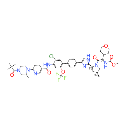 COC(=O)N[C@H](C(=O)N1C[C@@H](C)C[C@H]1c1nc(-c2ccc(-c3cc(Cl)c(NC(=O)c4ccc(N5CCN(C(=O)C(C)(C)C)CC5C)nc4)cc3OC(F)(F)F)cc2)c[nH]1)C1CCOCC1